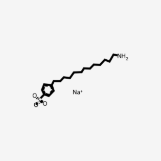 NCCCCCCCCCCCCCc1ccc(S(=O)(=O)[O-])cc1.[Na+]